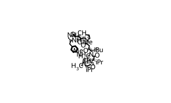 CC[C@H](C)[C@@H]([C@@H](CC(=O)N1CCC[C@H]1[C@H](OC)[C@@H](C)C(=O)N[C@H](CN)Cc1ccc(N)cc1)OC)N(C)C(=O)[C@@H](NC(=O)[C@H](C(C)C)N(C)C)C(C)C